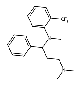 CN(C)CCC(c1ccccc1)N(C)c1ccccc1C(F)(F)F